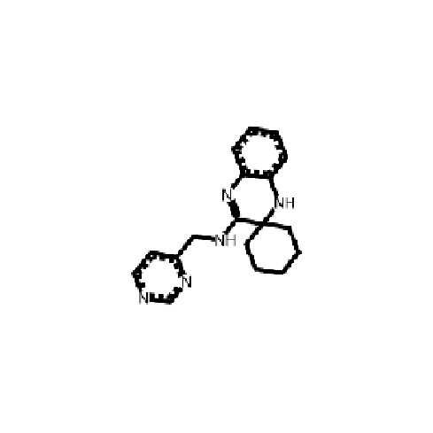 c1ccc2c(c1)N=C(NCc1ccncn1)C1(CCCCC1)N2